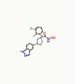 Cc1c(F)cccc1[C@]1(C(=O)NO)CCC(c2ccc3c(cnn3C)c2)C1